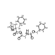 O=C(CNC(=O)OCc1ccccc1)OC(=O)[C@]1(Cc2ccccc2)CCCN1